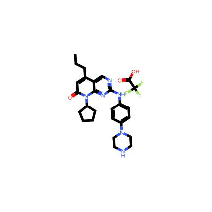 CCCc1cc(=O)n(C2CCCC2)c2nc(Nc3ccc(N4CCNCC4)cc3)ncc12.O=C(O)C(F)(F)F